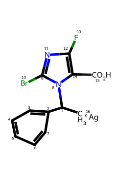 CC(c1ccccc1)n1c(Br)nc(F)c1C(=O)O.[Ag]